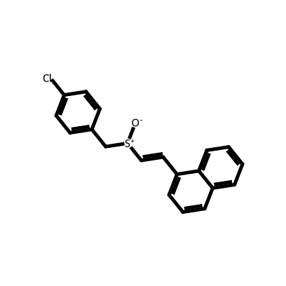 [O-][S+](/C=C/c1cccc2ccccc12)Cc1ccc(Cl)cc1